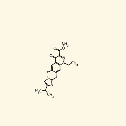 CCn1nc(C(=O)OC)c(=O)c2cc(F)c(Cc3nc(C(C)C)cs3)cc21